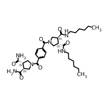 CCCCCCNC(=O)[C@@H]1CN(C(=O)c2ccc(C(=O)N3C[C@@H](C(N)=O)[C@H](C(N)=O)C3)cc2)C[C@H]1C(=O)NCCCCCC